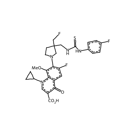 COc1c(N2CCC(CF)(CNC(=S)Nc3ccc(F)cc3)C2)c(F)cc2c(=O)c(C(=O)O)cn(C3CC3)c12